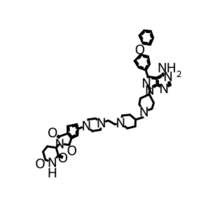 Nc1ncnc2c1c(-c1ccc(Oc3ccccc3)cc1)nn2C1CCN(CC2CCN(CCN3CCN(c4ccc5c(c4)C(=O)N(C4CCC(=O)NC4=O)C5=O)CC3)CC2)CC1